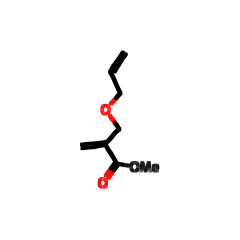 C=CCOCC(=C)C(=O)OC